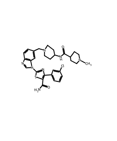 CN1CCC(C(=O)NC2CCN(Cc3ccc4ncn(-c5nc(-c6cccc(Cl)c6)c(C(N)=O)s5)c4c3)CC2)CC1